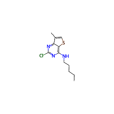 CCCCCNc1nc(Cl)nc2c(C)csc12